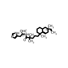 C=C[C@@]1(C)CC=C2C(CCC[C@@]2(C)CCCC(C)(C)C(=O)N[C@H](C=O)Cc2cnc[nH]2)C1